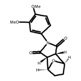 COc1ccc(N2C(=O)[C@@H]3[C@H](C2=O)[C@H]2CC[C@@H]3O2)cc1OC